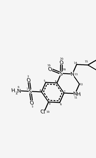 NS(=O)(=O)c1cc2c(cc1Cl)NCN(CC1CO1)S2(=O)=O